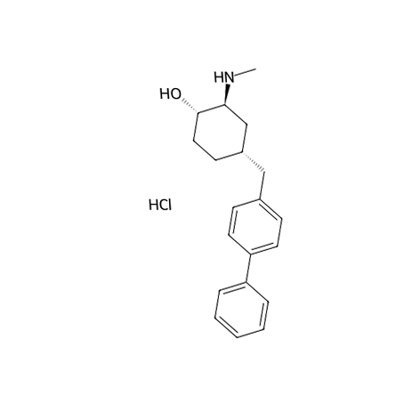 CN[C@H]1C[C@H](Cc2ccc(-c3ccccc3)cc2)CC[C@@H]1O.Cl